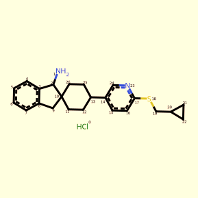 Cl.NC1c2ccccc2CC12CCC(c1ccc(SCC3CC3)nc1)CC2